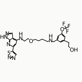 OCCc1cc(CNCCCCOCCNc2cc(-c3cnns3)nc3[nH]ncc23)cc(OC(F)(F)F)c1